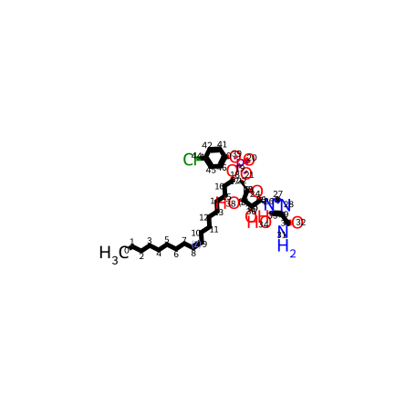 CCCCCCCC/C=C\CCCCCCCCOP(=O)(OC[C@H]1O[C@@H](n2cnc(C(N)=O)c2O)[C@H](O)[C@@H]1O)Oc1ccc(Cl)cc1